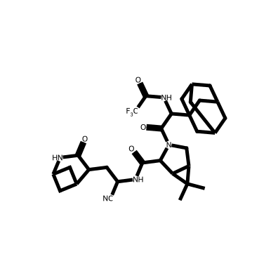 CC1(C)C2CN(C(=O)C(NC(=O)C(F)(F)F)C34CC5CC(CC(C5)C3)C4)C(C(=O)NC(C#N)CC3C(=O)NC4CC3C4)C21